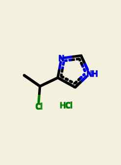 CC(Cl)c1c[nH]cn1.Cl